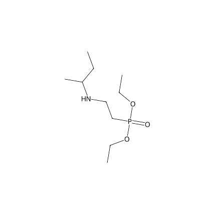 CCOP(=O)(CCNC(C)CC)OCC